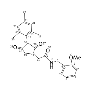 COc1ccccc1CNC(=O)CC1CC(=O)[C@H](c2c(C)cc(C)cc2C)C1=O